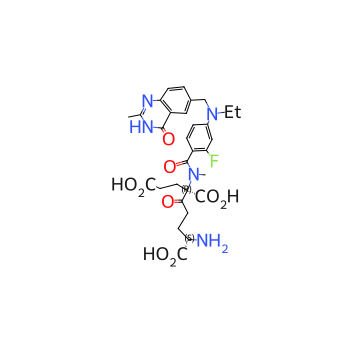 CCN(Cc1ccc2nc(C)[nH]c(=O)c2c1)c1ccc(C(=O)N(C)[C@@](CCC(=O)O)(C(=O)O)C(=O)CC[C@H](N)C(=O)O)c(F)c1